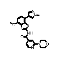 COc1ccc(-c2cnn(C)c2)c2sc(NC(=O)c3ccnc(N4CCOCC4)c3)nc12